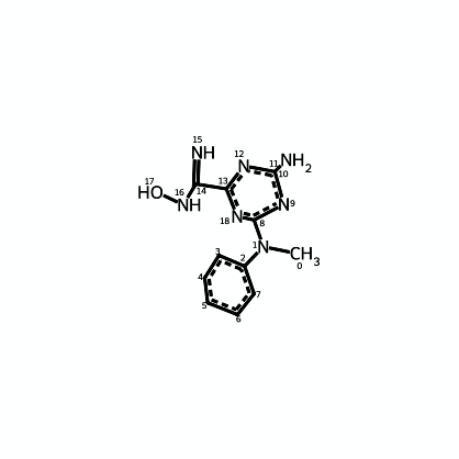 CN(c1ccccc1)c1nc(N)nc(C(=N)NO)n1